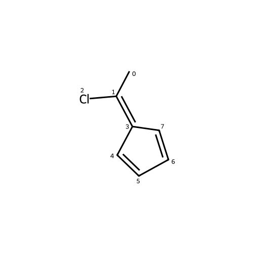 CC(Cl)=C1C=CC=C1